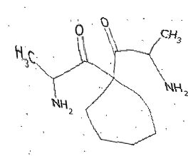 CC(N)C(=O)C1(C(=O)C(C)N)CCCCC1